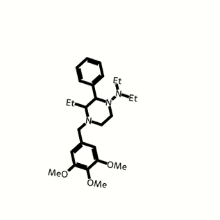 CCC1C(c2ccccc2)N(N(CC)CC)CCN1Cc1cc(OC)c(OC)c(OC)c1